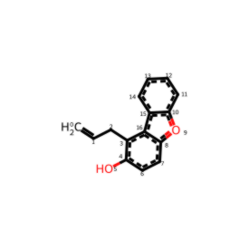 C=CCc1c(O)ccc2oc3ccccc3c12